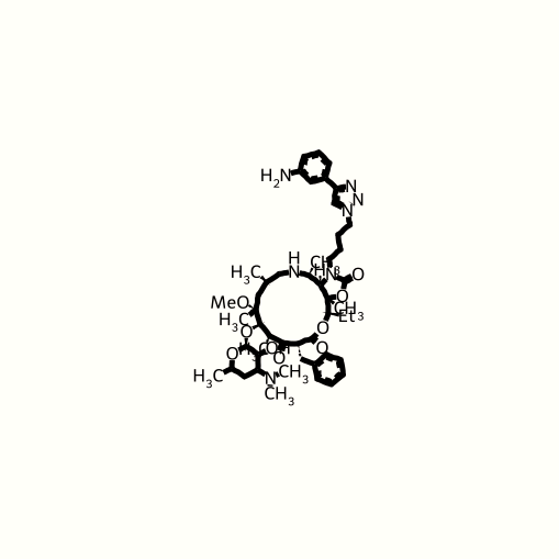 CC[C@H]1OC(=O)[C@H](Cc2ccccc2)C(=O)[C@H](C)[C@@H](O[C@@H]2OC(C)CC(N(C)C)C2O)[C@](C)(OC)C[C@@H](C)CN[C@H](C)[C@H]2N(CCCCn3cc(-c4cccc(N)c4)nn3)C(=O)O[C@]12C